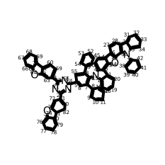 C1=C(c2nc(-c3cc(-c4ccccc4)c(-n4c5ccccc5c5c6oc7c(ccc8c9ccccc9n(-c9ccccc9)c87)c6ccc54)c(-c4ccccc4)c3)nc(-c3ccc4c(c3)oc3ccccc34)n2)C=C2Oc3ccccc3C2C1